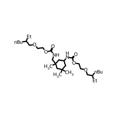 CCCCC(CC)COCCOC(=O)NCC1(C)CC(NC(=O)OCCOCC(CC)CCCC)CC(C)(C)C1